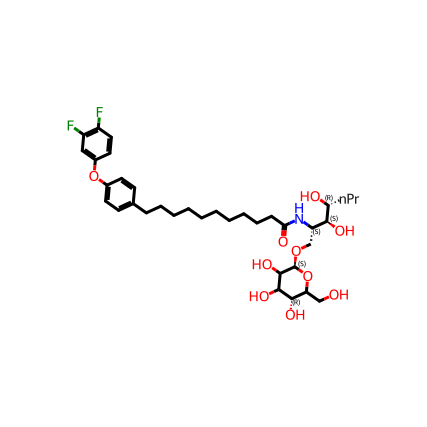 CCC[C@@H](O)[C@@H](O)[C@H](CO[C@H]1OC(CO)[C@H](O)C(O)C1O)NC(=O)CCCCCCCCCCc1ccc(Oc2ccc(F)c(F)c2)cc1